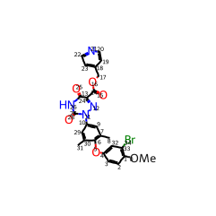 COc1ccc(Oc2c(C)cc(-n3nc(C(=O)OCc4ccncc4)c(=O)[nH]c3=O)cc2C)cc1Br